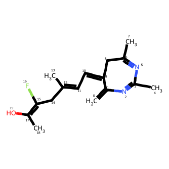 C=C1N=C(C)N=C(C)C/C1=C/C=C(\C)C/C(F)=C(\C)O